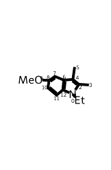 CCn1c(C)c(C)c2cc(OC)ccc21